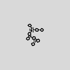 c1ccc(-c2ccc(-c3nc(-c4ccccc4)nc(-c4ccc5c6ccccc6n(-c6ccc7c8ccccc8n(-c8ccccc8)c7c6)c5c4)n3)cc2)cc1